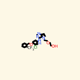 OCCOCCn1ccc2ncnc(Nc3ccc(OCc4ccccc4C(F)(F)F)c(Cl)c3)c21